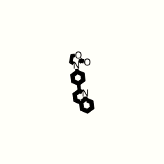 O=C1OCCN1c1ccc(-c2ccc3ccccc3n2)cc1